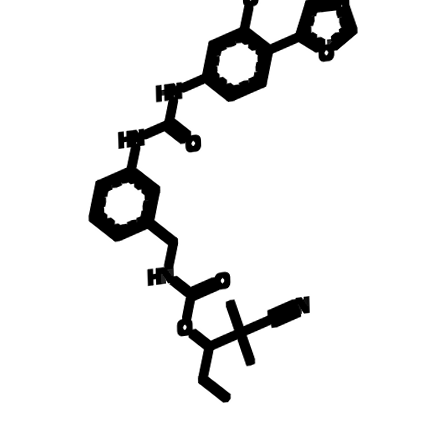 CCC(OC(=O)NCc1cccc(NC(=O)Nc2ccc(-c3cnco3)c(OC)c2)c1)C(C)(C)C#N